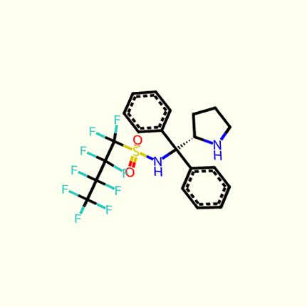 O=S(=O)(NC(c1ccccc1)(c1ccccc1)[C@@H]1CCCN1)C(F)(F)C(F)(F)C(F)(F)C(F)(F)F